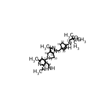 CNc1nc(C)cc(N2CCc3c(c(C)nn3CC34CCC(NCC(C)(C)OC)(CC3)C4)C2)c1C=N